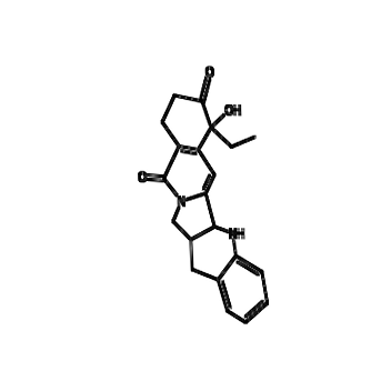 CCC1(O)C(=O)CCc2c1cc1n(c2=O)CC2Cc3ccccc3NC12